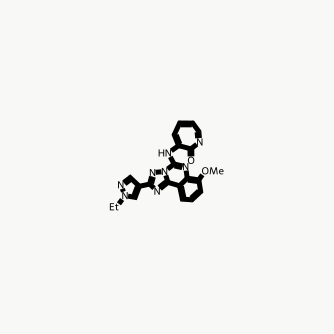 CCn1cc(-c2nc3c4cccc(OC)c4nc(Nc4ccccnc4=O)n3n2)cn1